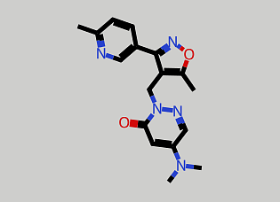 Cc1ccc(-c2noc(C)c2Cn2ncc(N(C)C)cc2=O)cn1